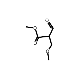 COCC(C=O)C(=O)OC